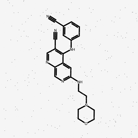 N#Cc1cccc(Nc2c(C#N)cnc3cnc(NCCN4CCOCC4)cc23)c1